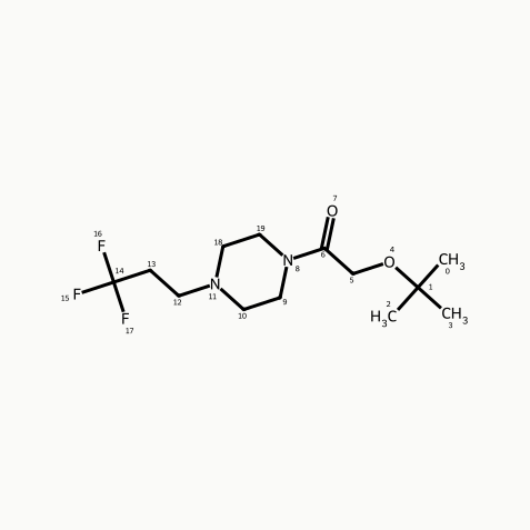 CC(C)(C)OCC(=O)N1CCN(CCC(F)(F)F)CC1